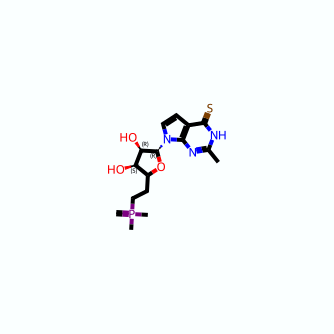 C=P(C)(C)CCC1O[C@@H](n2ccc3c(=S)[nH]c(C)nc32)[C@H](O)[C@@H]1O